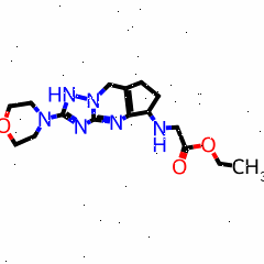 CCOC(=O)CNC1CCC2=C1N=C1N=C(N3CCOCC3)NN1C2